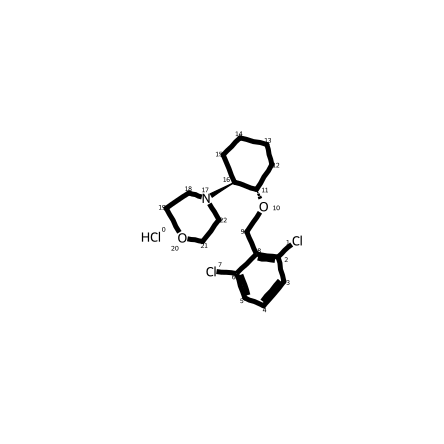 Cl.Clc1cccc(Cl)c1CO[C@H]1CCCC[C@@H]1N1CCOCC1